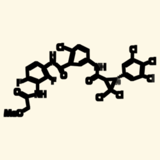 COCC(=O)Nc1c(F)ccc(NC(=O)c2cc(NC(=O)C3[C@H](c4cc(Cl)c(Cl)c(Cl)c4)C3(Cl)Cl)ccc2Cl)c1F